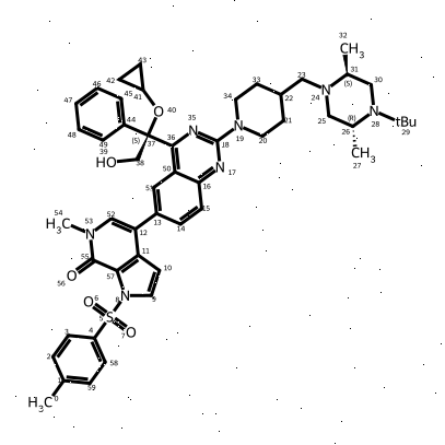 Cc1ccc(S(=O)(=O)n2ccc3c(-c4ccc5nc(N6CCC(CN7C[C@@H](C)N(C(C)(C)C)C[C@@H]7C)CC6)nc([C@@](CO)(OC6CC6)c6ccccc6)c5c4)cn(C)c(=O)c32)cc1